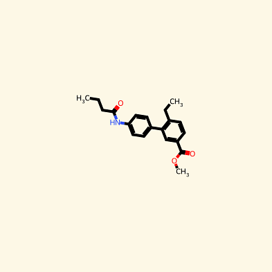 CCCC(=O)Nc1ccc(-c2cc(C(=O)OC)ccc2CC)cc1